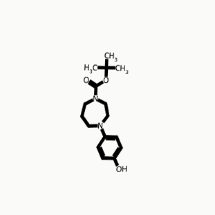 CC(C)(C)OC(=O)N1CCCN(c2ccc(O)cc2)CC1